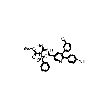 CC(C)(C)OC(=O)N(C(=N)NCc1cnc(-c2ccc(Cl)cc2)c(-c2cccc(Cl)c2)c1)S(=O)(=O)c1ccccc1